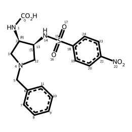 O=C(O)N[C@@H]1CN(Cc2ccccc2)C[C@@H]1NS(=O)(=O)c1ccc([N+](=O)[O-])cc1